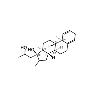 CC(O)C[C@@]1(O)C(C)C[C@H]2[C@@H]3CCC4=CCC=C[C@]4(C)[C@H]3CC[C@@]21C